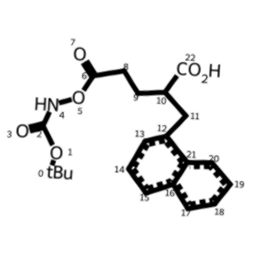 CC(C)(C)OC(=O)NOC(=O)CCC(Cc1cccc2ccccc12)C(=O)O